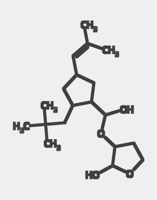 CC(C)=CC1CC(CC(C)(C)C)C(C(O)OC2CCOC2O)C1